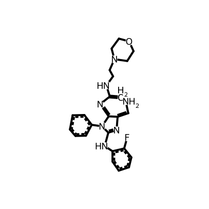 C=C(/N=C1\C(=C/N)N=C(Nc2ccccc2F)N1c1ccccc1)NCCN1CCOCC1